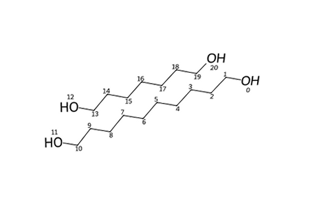 OCCCCCCCCCCO.OCCCCCCCO